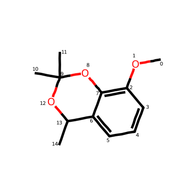 COc1cccc2c1OC(C)(C)OC2C